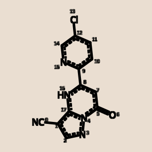 N#Cc1cnn2c(=O)cc(-c3ccc(Cl)cn3)[nH]c12